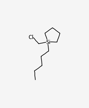 CCCCC[Si]1(CCl)CCCC1